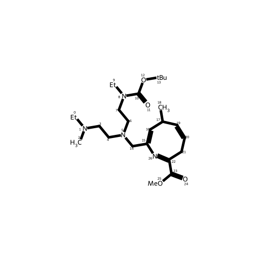 CCN(C)CCN(CCN(CC)C(=O)OC(C)(C)C)CC1=C/C(C)C=CC/C(C(=O)OC)=N\1